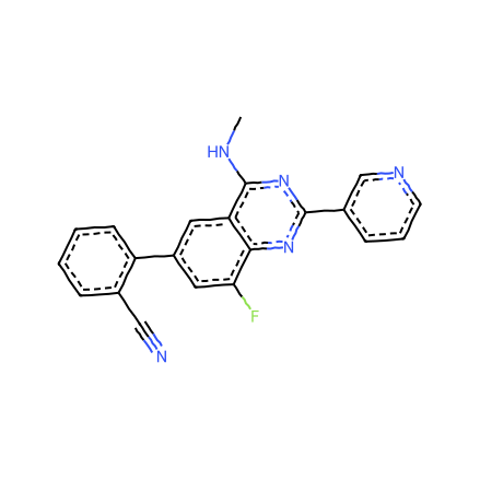 CNc1nc(-c2cccnc2)nc2c(F)cc(-c3ccccc3C#N)cc12